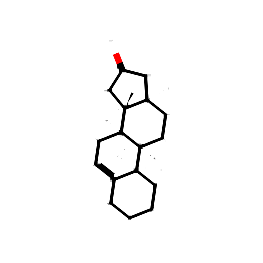 C[C@]12CC[C@@H]3[C@@H](CC=C4CCCC[C@@]43C)[C@@H]1CC(=O)C2